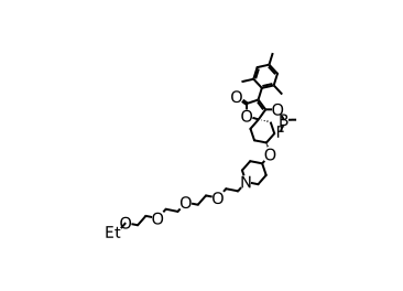 CCOCCOCCOCCOCCN1CCC(O[C@H]2CC[C@]3(CC2)OC(=O)C(c2c(C)cc(C)cc2C)=C3OB(C)F)CC1